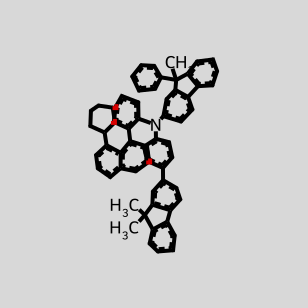 CC1(C)c2ccccc2-c2ccc(-c3ccc(N(c4ccc5c(c4)C(C)(c4ccccc4)c4ccccc4-5)c4ccccc4-c4cccc5cccc(C6CCCCC6)c45)cc3)cc21